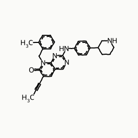 CC#Cc1cc2cnc(Nc3ccc(C4CCCNC4)cc3)nc2n(Cc2ccccc2C)c1=O